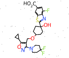 O=C(O)c1cc(F)c2nc(C3(O)CCC(OCc4c(N5CCC(F)(F)CC5)noc4C4CC4)CC3)sc2c1